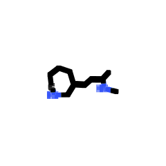 CN/C(C)=C\C=C1/CCCCNC1